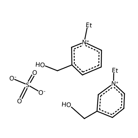 CC[n+]1cccc(CO)c1.CC[n+]1cccc(CO)c1.O=S(=O)([O-])[O-]